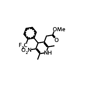 COC(=O)CC1=C(C)NC(C)=C([N+](=O)[O-])C1c1ccccc1C(F)(F)F